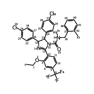 CCOc1cc(C(F)(F)F)ccc1C1=NC(c2ccc(Cl)cc2)C(c2ccc(Cl)cc2)N1C(=O)N(C)Cc1ccccc1C